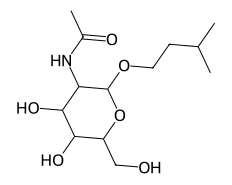 CC(=O)NC1C(OCCC(C)C)OC(CO)C(O)C1O